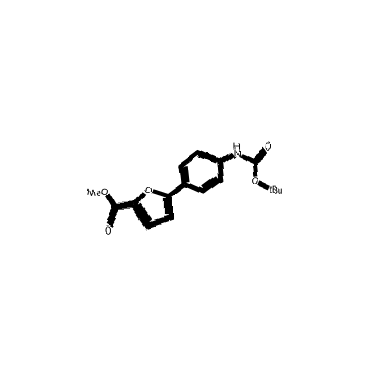 COC(=O)c1ccc(-c2ccc(NC(=O)OC(C)(C)C)cc2)o1